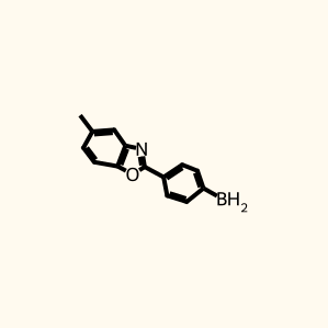 Bc1ccc(-c2nc3cc(C)ccc3o2)cc1